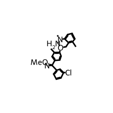 CON=C(c1cccc(Cl)c1)c1ccc(OCc2c(C)cccc2N(C)N)c(C)c1